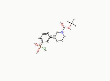 CC(C)(C)OC(=O)N1CCC[C@@H](c2cccc(S(=O)(=O)Cl)c2)C1